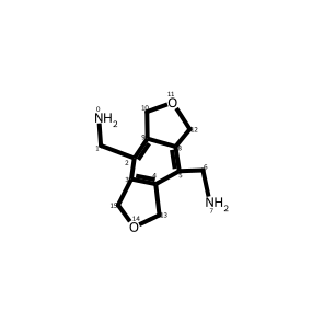 NCc1c2c(c(CN)c3c1COC3)COC2